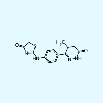 CC1CC(=O)NN=C1c1ccc(NC2=NC(=O)CS2)cc1